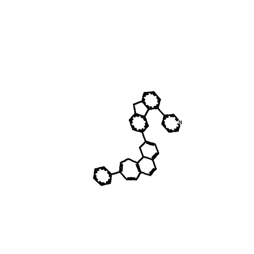 C1=CC2=C(CC=C1c1ccccc1)C1CC(c3ccc4c(c3)-c3c(cccc3-c3cccnc3)C4)=CC=C1C=C2